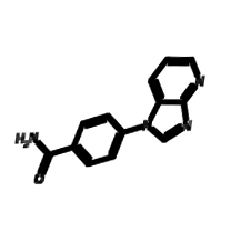 NC(=O)c1ccc(-n2cnc3ncccc32)cc1